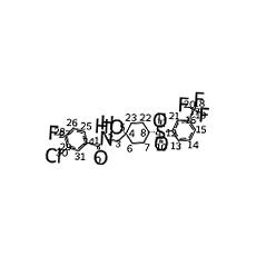 O=C(NC[C@]1(O)CC[C@@H](S(=O)(=O)c2cccc(C(F)(F)F)c2)CC1)c1ccc(F)c(Cl)c1